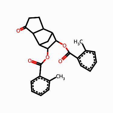 Cc1ccccc1C(=O)OC1C2CC(C1OC(=O)c1ccccc1C)C1C(=O)CCC21